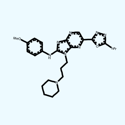 CCCc1nnc(-c2cnc3nc(Nc4ccc(OC)cc4)n(CCCN4CCCCC4)c3n2)o1